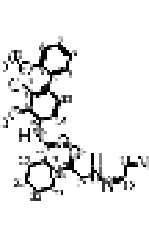 CC1C(Cl)=C(c2ccccc2OC(F)(F)F)C=CC1NC(=O)[C@H]1CCCCN1C(=O)CN/N=C\C=N